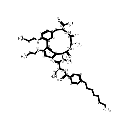 CCCCCCCCc1ccc(C(=O)N[C@@H](CN)C(=O)N(C)[C@@H]2C(=O)N[C@@H](C)C(=O)N[C@H](C(=O)O)Cc3ccc(OCCN)c(c3)-c3cc2ccc3OCCN)cc1